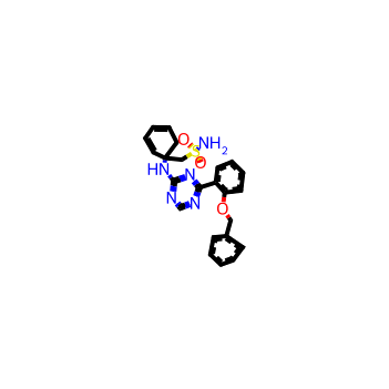 NS(=O)(=O)CC1(Nc2ncnc(-c3ccccc3OCc3ccccc3)n2)C=CC=CC1